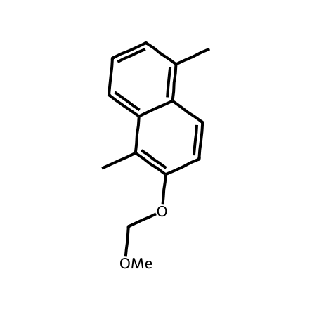 COCOc1ccc2c(C)cccc2c1C